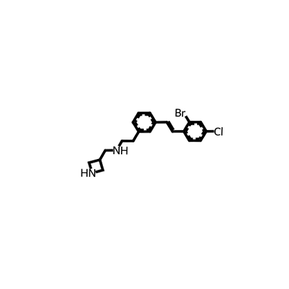 Clc1ccc(C=Cc2cccc(CCNCC3CNC3)c2)c(Br)c1